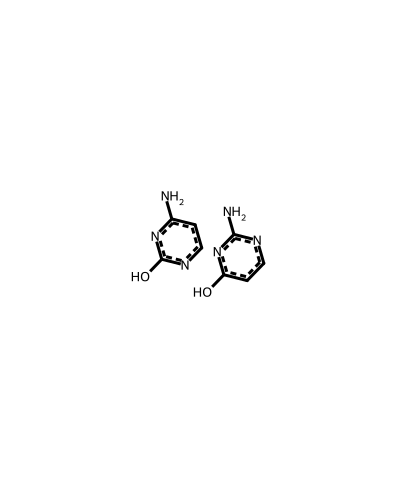 Nc1ccnc(O)n1.Nc1nccc(O)n1